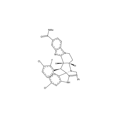 CNC(=O)c1ccc2c(c1)nc1n2CC[C@H]2[C@@H]1[C@H](c1cccc(Cl)c1F)[C@]1(C(=O)Nc3cc(Cl)ccc31)N2CC(C)C